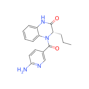 CCC[C@H]1C(=O)Nc2ccccc2N1C(=O)c1ccc(N)nc1